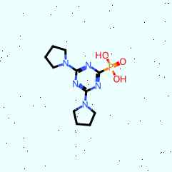 O=P(O)(O)c1nc(N2CCCC2)nc(N2CCCC2)n1